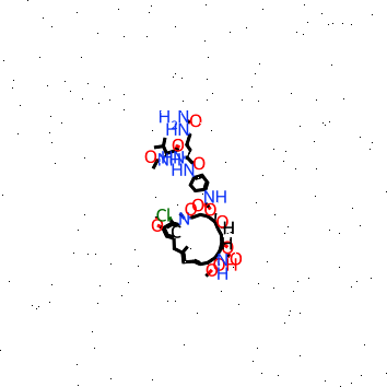 COc1cc2cc(c1Cl)N(C)C(=O)C[C@H](OC(=O)NC1=CC=C(NC(=O)[C@H](CCCNC(N)=O)NC(=O)[C@@H](NC(C)=O)C(C)C)CC1)[C@]1(C)O[C@H]1[C@H](C)[C@@H]1C[C@@](O)(NC(=O)O1)[C@H](OC)/C=C/C=C(\C)C2